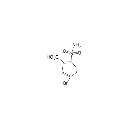 NS(=O)(=O)c1ccc(Br)cc1C(=O)O